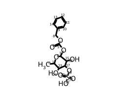 CC1OC(OC(=O)OCc2ccccc2)C(O)C(OS(=O)(=O)O)C1O